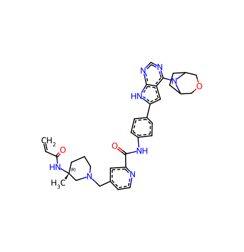 C=CC(=O)N[C@]1(C)CCCN(Cc2ccnc(C(=O)Nc3ccc(-c4cc5c(N6C7CCC6COC7)ncnc5[nH]4)cc3)c2)C1